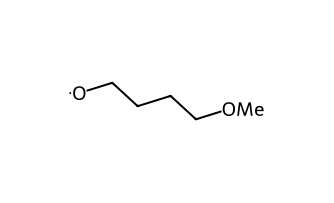 [CH2]OCCCC[O]